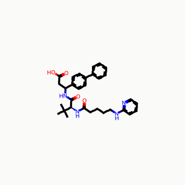 CC(C)(C)[C@H](NC(=O)CCCCNc1ccccn1)C(=O)NC(CC(=O)O)c1ccc(-c2ccccc2)cc1